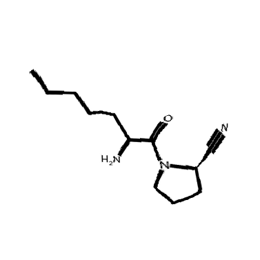 CCCCCC(N)C(=O)N1CCC[C@@H]1C#N